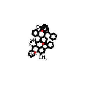 Cc1cc2c(c(-c3c(-c4ccccc4)nnnc3-c3cccc(-c4ccccc4-c4ccccc4)c3-c3cccc4oc5ccccc5c34)c1C)Cc1ccccc1-2